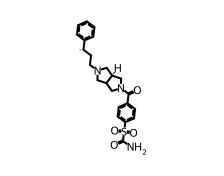 NC(=O)S(=O)(=O)c1ccc(C(=O)N2CC3CN(CC[CH]c4ccccc4)C[C@H]3C2)cc1